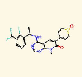 C[C@@H](Nc1ncnc2c1cc(C1=CC[S+]([O-])CC1)c(=O)n2C)c1cccc(C(F)F)c1F